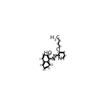 CCCCOc1cccnc1N=Nc1c(O)ccc2ccccc12